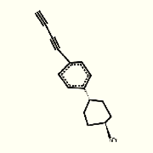 C#CC#Cc1ccc([C@H]2CC[C@H](CCC)CC2)cc1